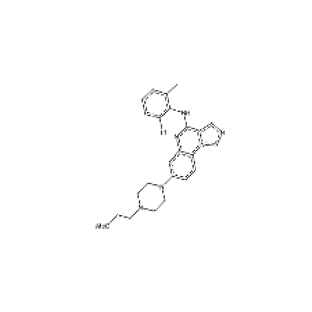 COCCN1CCN(c2ccc3c(c2)nc(Nc2c(C)cccc2Cl)c2cncn23)CC1